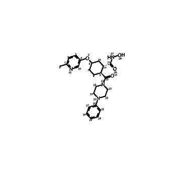 Cc1ccc(OC2CC[C@H](C(=O)N3CCN(c4ccccc4)CC3)[C@@H](C(=O)NO)C2)cn1